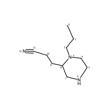 [CH2]CCN1CCNCC1CCC#N